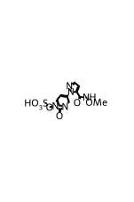 CONC(=O)c1ccnn1C1=CC2CN(C1)C(=O)N2OS(=O)(=O)O